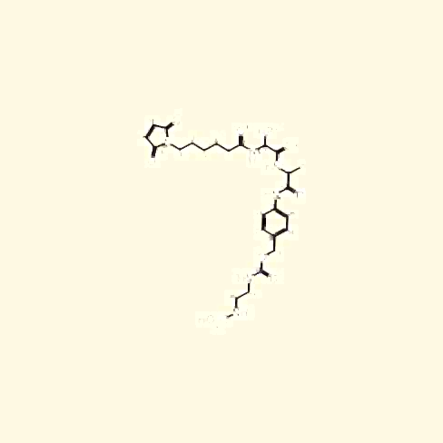 CC(NC(=O)C(NC(=O)CCCCCN1C(=O)C=CC1=O)C(C)C)C(=O)Nc1ccc(COC(=O)NCCNC(=O)O)cc1